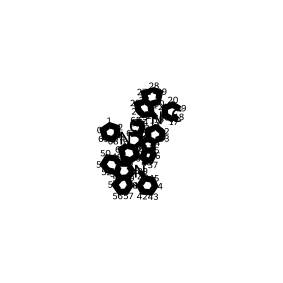 c1ccc(N2c3ccccc3C3(c4cc(N(c5ccccc5)c5cccc6ccccc56)ccc4-c4ccc(N(c5ccccc5)c5cc6ccccc6c6ccccc56)cc43)c3ccccc32)cc1